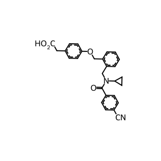 N#Cc1ccc(C(=O)N(Cc2ccccc2COc2ccc(CC(=O)O)cc2)C2CC2)cc1